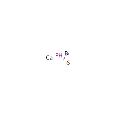 P.[B].[Ca].[S]